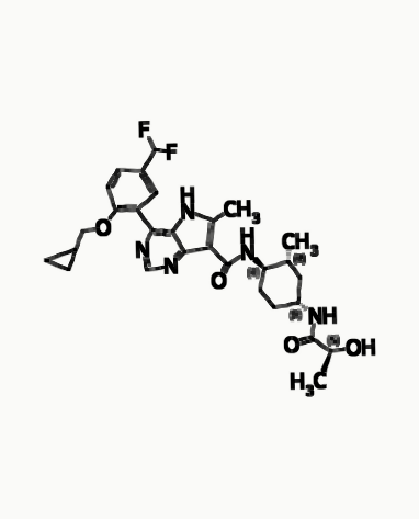 Cc1[nH]c2c(-c3cc(C(F)F)ccc3OCC3CC3)ncnc2c1C(=O)N[C@@H]1CC[C@@H](NC(=O)[C@H](C)O)C[C@H]1C